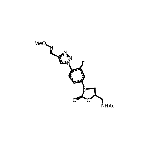 CON=Cc1cn(-c2ccc(N3CC(CNC(C)=O)OC3=O)cc2F)nn1